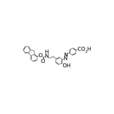 O=C(NCCc1ccc(O)c(N=Nc2ccc(C(=O)O)cc2)c1)Oc1cccc2c1Cc1ccccc1-2